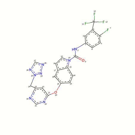 O=C(Nc1ccc(F)c(C(F)(F)F)c1)n1ccc2cc(Oc3cc(Cn4ncnn4)ncn3)ccc21